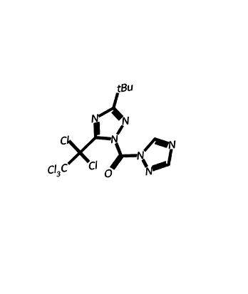 CC(C)(C)c1nc(C(Cl)(Cl)C(Cl)(Cl)Cl)n(C(=O)n2cncn2)n1